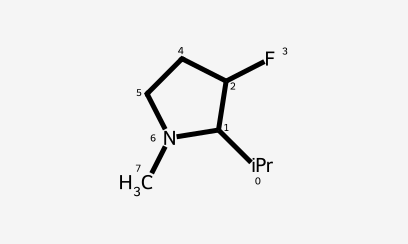 CC(C)C1C(F)CCN1C